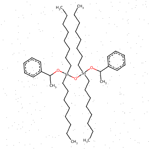 CCCCCCC[CH2][Sn]([CH2]CCCCCCC)([O]C(C)c1ccccc1)[O][Sn]([CH2]CCCCCCC)([CH2]CCCCCCC)[O]C(C)c1ccccc1